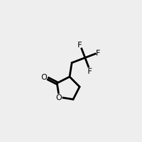 O=C1OCCC1CC(F)(F)F